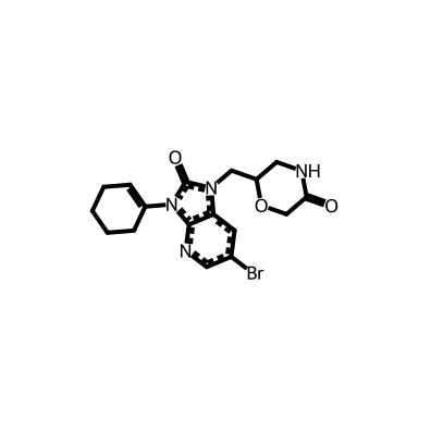 O=C1COC(Cn2c(=O)n(C3=CCCCC3)c3ncc(Br)cc32)CN1